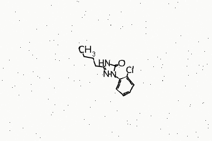 CCCCc1nn(-c2ccccc2Cl)c(=O)[nH]1